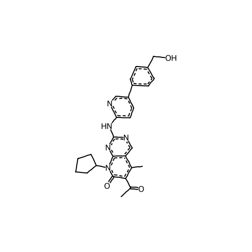 CC(=O)c1c(C)c2cnc(Nc3ccc(-c4ccc(CO)cc4)cn3)nc2n(C2CCCC2)c1=O